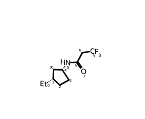 CC[C@H]1CC[C@@H](NC(=O)CC(F)(F)F)C1